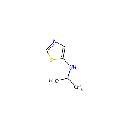 CC(C)Nc1cncs1